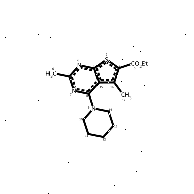 CCOC(=O)c1sc2nc(C)nc(N3CCCCC3)c2c1C